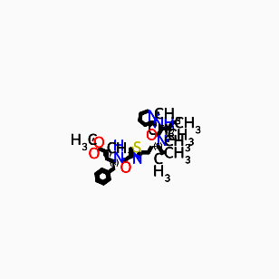 CC[C@H](C)[C@H](N[C@@]1(C)CCCCN1C)C(=O)N(C)[C@@H](CCc1nc(C(=O)N[C@@H](Cc2ccccc2)C[C@H](C)C(=O)OC)cs1)C(C)C